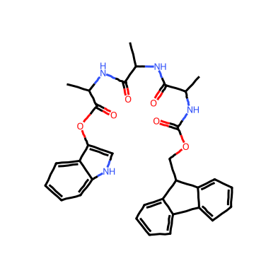 CC(NC(=O)OCC1c2ccccc2-c2ccccc21)C(=O)NC(C)C(=O)NC(C)C(=O)Oc1c[nH]c2ccccc12